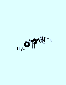 Cc1ccc(Sc2cc(COS(C)(=O)=O)c[nH]2)cc1